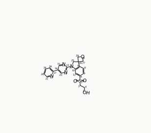 O=S(=O)(CCO)c1ccc2c(c1)N(c1ncc(-c3ccccn3)cn1)CC21COC1